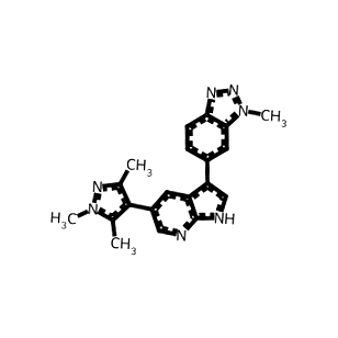 Cc1nn(C)c(C)c1-c1cnc2[nH]cc(-c3ccc4nnn(C)c4c3)c2c1